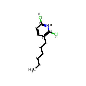 CCCCCCc1ccc(Cl)nc1Cl